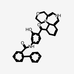 O=C(Nc1ccc(C(=O)C2CC=CC3=CNC=C4COCCN4C32)c(O)c1)c1ccccc1-c1ccccc1